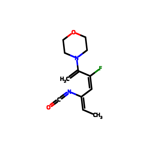 C=C(/C(F)=C\C(=C/C)N=C=O)N1CCOCC1